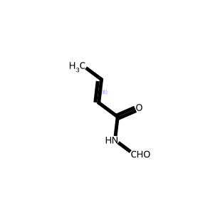 C/C=C/C(=O)NC=O